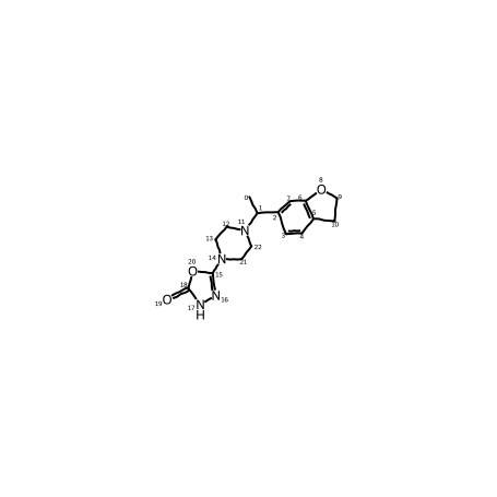 CC(c1ccc2c(c1)OCC2)N1CCN(c2n[nH]c(=O)o2)CC1